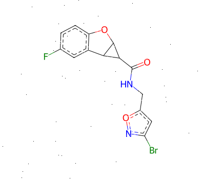 O=C(NCc1cc(Br)no1)C1C2Oc3ccc(F)cc3C21